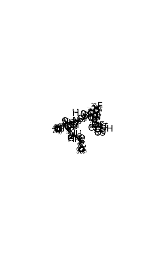 CC[C@]1(O)C(=O)OCc2c1cc1n(c2=O)Cc2c-1nc1cc(F)c(C)c3c1c2C(NC(=O)COCNC(=O)CNC(=O)[C@@H](Cc1ccccc1)NC(=O)CNC(=O)CNC(=O)[C@@H](C)Cc1ccccc1)CC3